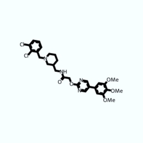 COc1cc(-c2cnc(OCC(=O)NCC3CCCN(Cc4cccc(Cl)c4Cl)C3)nc2)cc(OC)c1OC